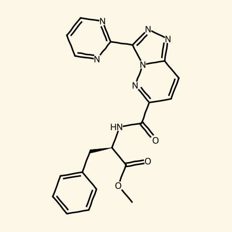 COC(=O)[C@@H](Cc1ccccc1)NC(=O)c1ccc2nnc(-c3ncccn3)n2n1